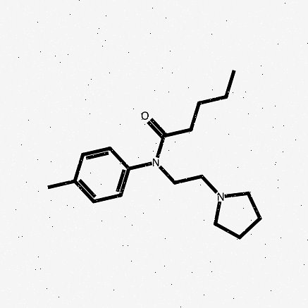 CCCCC(=O)N(CCN1CCCC1)c1ccc(C)cc1